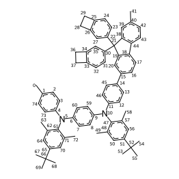 Cc1ccc(N(c2ccc(N(c3ccc(-c4ccc5c(c4)C(c4ccc6c(c4)CC6)(c4ccc6c(c4)CC6)c4cc(C)ccc4-5)cc3)c3c(C)cc(C(C)(C)C)cc3C)cc2)c2c(C)cc(C(C)(C)C)cc2C)cc1